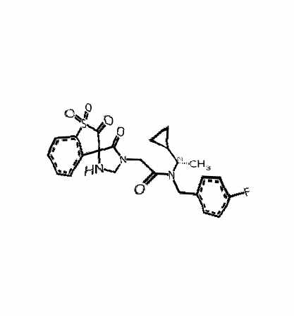 C[C@@H](C1CC1)N(Cc1ccc(F)cc1)C(=O)CN1CNC2(C1=O)C(=O)S(=O)(=O)c1ccccc12